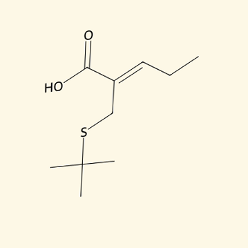 CCC=C(CSC(C)(C)C)C(=O)O